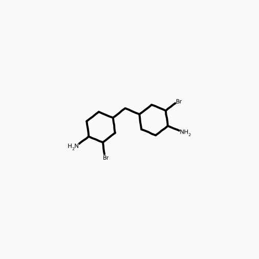 NC1CCC(CC2CCC(N)C(Br)C2)CC1Br